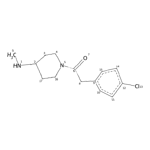 CNC1CCN(C(=O)Cc2ccc(Cl)cc2)CC1